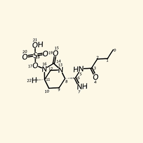 CCCC(=O)NC(=N)[C@@H]1CC[C@@H]2CN1C(=O)N2OS(=O)(=O)O